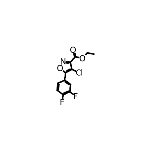 CCOC(=O)c1noc(-c2ccc(F)c(F)c2)c1Cl